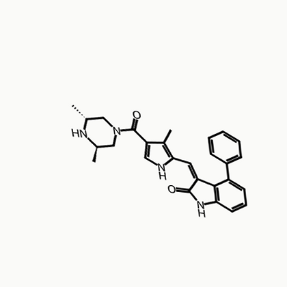 Cc1c(C(=O)N2C[C@@H](C)N[C@H](C)C2)c[nH]c1C=C1C(=O)Nc2cccc(-c3ccccc3)c21